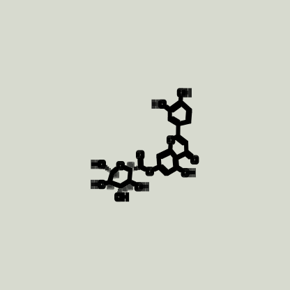 O=C(Oc1cc(O)c2c(=O)cc(-c3ccc(O)c(O)c3)oc2c1)[C@H]1O[C@@H](O)[C@H](O)[C@@H](O)[C@@H]1O